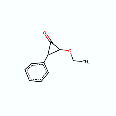 CCOC1C(=O)C1c1ccccc1